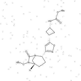 CCCCON1C(=O)N2C[C@@H]1CC[C@H]2c1cc([C@H]2C[C@@H](NC(=O)OC(C)(C)C)C2)on1